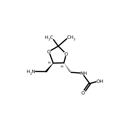 CC1(C)O[C@H](CN)[C@@H](CNC(=O)O)O1